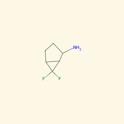 NC1CCC2C1C2(F)F